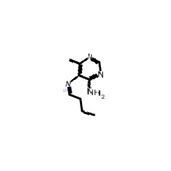 CCC/C=N\c1c(C)ncnc1N